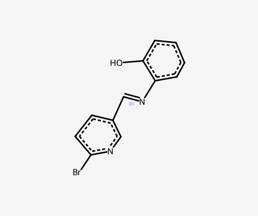 Oc1ccccc1/N=C/c1ccc(Br)nc1